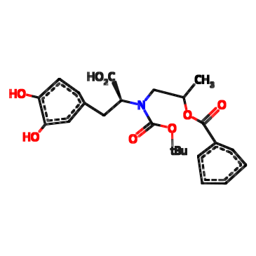 CC(CN(C(=O)OC(C)(C)C)[C@@H](Cc1ccc(O)c(O)c1)C(=O)O)OC(=O)c1ccccc1